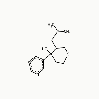 CN(C)CC1CSCCC1(O)c1cccnc1